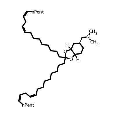 CCCCC/C=C\C/C=C\CCCCCCCCC1(CCCCCCCC/C=C\C/C=C\CCCCC)O[C@H]2CC[C@H](CN(C)C)C[C@H]2O1